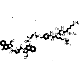 C=C(N)NCCCC(NC(=C)[C@@H](NC(=O)C(CCCCN)NC(C)=O)C(C)C)C(=O)Nc1ccc(COC(=O)N(C)CCN(C)C(=O)Oc2cc3c(c4ccccc24)[C@H](CCl)CN3C(=O)c2ccc(C(=O)N3CC(CCl)c4c3cc(C)c3ccccc43)s2)cc1